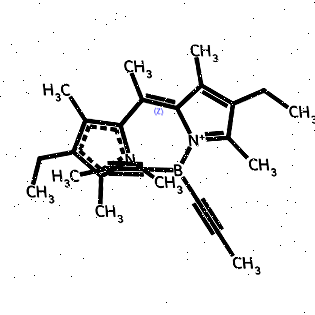 CC#CB(C#CC)[N+]1=C(C)C(CC)=C(C)/C1=C(\C)c1c(C)c(CC)c(C)n1C